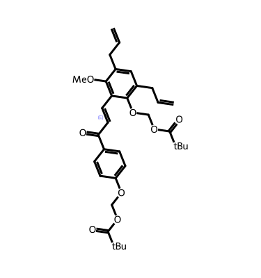 C=CCc1cc(CC=C)c(OCOC(=O)C(C)(C)C)c(/C=C/C(=O)c2ccc(OCOC(=O)C(C)(C)C)cc2)c1OC